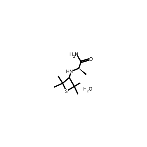 C[C@@H](NC1C(C)(C)SC1(C)C)C(N)=O.O